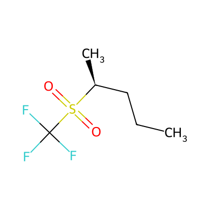 CCC[C@H](C)S(=O)(=O)C(F)(F)F